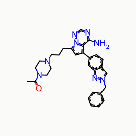 CC(=O)N1CCN(CCCc2cc(-c3ccc4cn(Cc5ccccc5)nc4c3)c3c(N)ncnn23)CC1